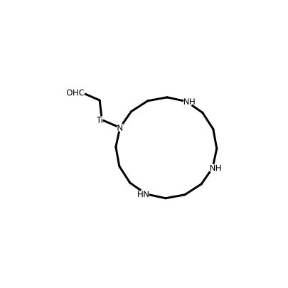 O=C[CH2][Ti][N]1CCCNCCCNCCCNCCC1